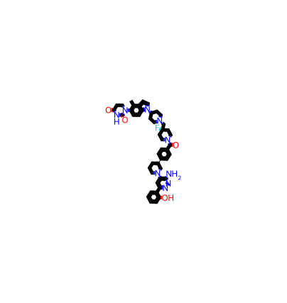 Cc1c(N2CCC(=O)NC2=O)ccc2c1ccn2C1CCN(CC2(F)CCN(C(=O)c3ccc([C@H]4CCCN(c5cc(-c6ccccc6O)nnc5N)C4)cc3)CC2)CC1